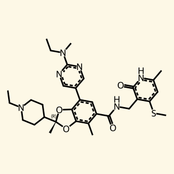 CCN1CCC([C@]2(C)Oc3c(-c4cnc(N(C)CC)nc4)cc(C(=O)NCc4c(SC)cc(C)[nH]c4=O)c(C)c3O2)CC1